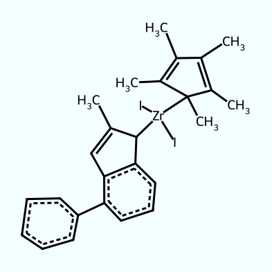 CC1=Cc2c(-c3ccccc3)cccc2[CH]1[Zr]([I])([I])[C]1(C)C(C)=C(C)C(C)=C1C